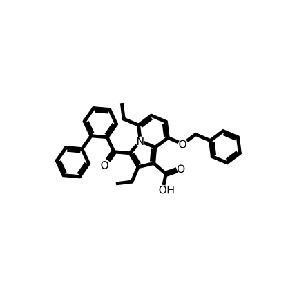 CCc1c(C(=O)O)c2c(OCc3ccccc3)ccc(CC)n2c1C(=O)c1ccccc1-c1ccccc1